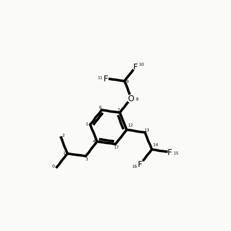 CC(C)Cc1ccc(OC(F)F)c(CC(F)F)c1